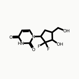 O=c1ccn(C2CC(CO)C(O)C2(F)F)c(=O)[nH]1